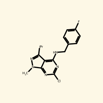 CC(C)c1nn(C)c2nc(Cl)nc(NCc3ccc(F)cc3)c12